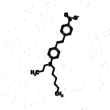 CCCCCCN(CCC)c1ccc(C=Cc2ccc([N+](=O)[O-])cc2)cc1